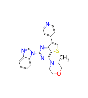 C[C@@H]1COCCN1c1nc(-n2cnc3ccccc32)nc2c(-c3ccncc3)csc12